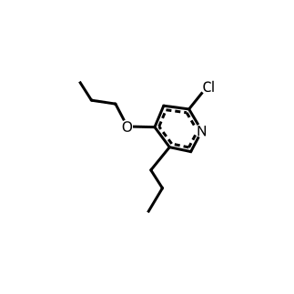 CCCOc1cc(Cl)ncc1CCC